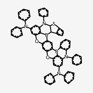 c1ccc(N(c2ccccc2)c2cc3c4c(c2)N(c2ccccc2)c2ccccc2B4c2cc4c(cc2O3)Oc2cc(N(c3ccccc3)c3ccccc3)cc3c2B4C2c4ccccc4SC2N3c2ccccc2)cc1